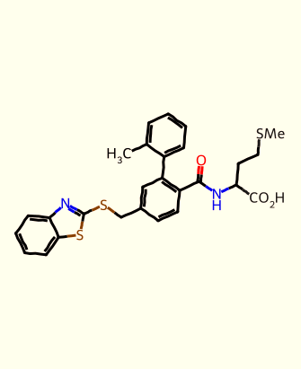 CSCCC(NC(=O)c1ccc(CSc2nc3ccccc3s2)cc1-c1ccccc1C)C(=O)O